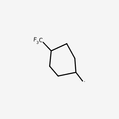 [CH2]C1CCC(C(F)(F)F)CC1